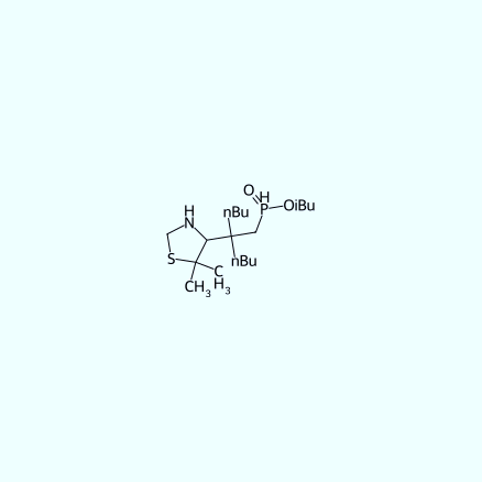 CCCCC(CCCC)(C[PH](=O)OCC(C)C)C1NCSC1(C)C